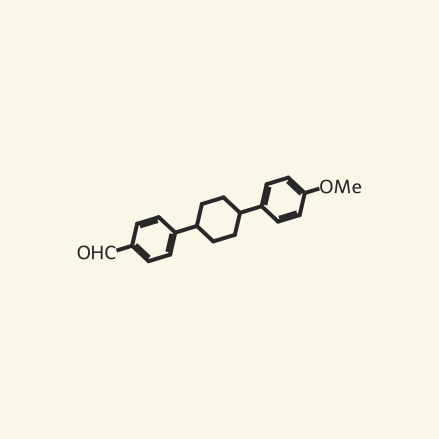 COc1ccc(C2CCC(c3ccc(C=O)cc3)CC2)cc1